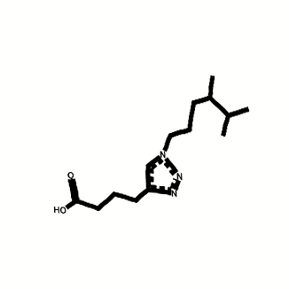 CC(C)C(C)CCCn1cc(CCCC(=O)O)nn1